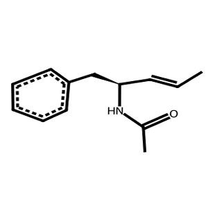 CC=C[C@H](Cc1ccccc1)NC(C)=O